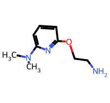 CN(C)c1cccc(OCCN)n1